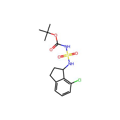 CC(C)(C)OC(=O)NS(=O)(=O)NC1CCc2cccc(Cl)c21